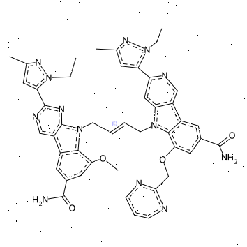 CCn1nc(C)cc1-c1cc2c(cn1)c1cc(C(N)=O)cc(OCc3ncccn3)c1n2C/C=C/Cn1c2nc(-c3cc(C)nn3CC)ncc2c2cc(C(N)=O)cc(OC)c21